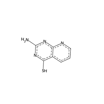 Nc1nc(S)c2cccnc2n1